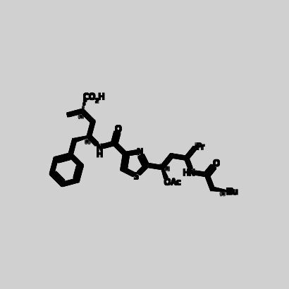 CC[C@H](C)CC(=O)NC(C[C@@H](OC(C)=O)c1nc(C(=O)N[C@@H](Cc2ccccc2)C[C@H](C)C(=O)O)cs1)C(C)C